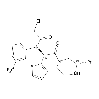 CC(C)[C@H]1CN(C(=O)[C@@H](c2cccs2)N(C(=O)CCl)c2cccc(C(F)(F)F)c2)CCN1